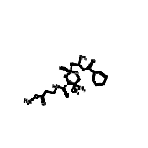 COC(=O)CCNC(=O)[C@@H]1O[PH](O)(OC(C)OC(=O)c2ccccc2)OCC1(C)C